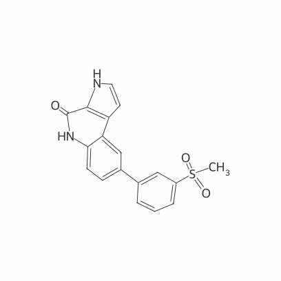 CS(=O)(=O)c1cccc(-c2ccc3[nH]c(=O)c4[nH]ccc4c3c2)c1